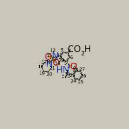 C[C@@H](NC(=O)c1cc(C(=O)O)cc(N(C)S(=O)(=O)N2CCCCC2)c1)c1ccccc1